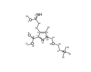 COC(=N)CCc1c(C(=O)OC)nn(COCC[Si](C)(C)C)c1C